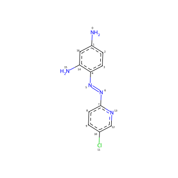 Nc1ccc(N=Nc2ccc(Cl)cn2)c(N)c1